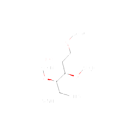 CC(=O)N[C@@H](C=O)[C@@H](OS(=O)(=O)O)[C@H](OS(=O)(=O)O)[C@H](O)COS(=O)(=O)O